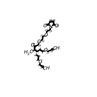 C#CCOCCC[C@@H](CCOCC#C)[C@H](C)C(=O)COCCOCCN1C(=O)C=CC1=O